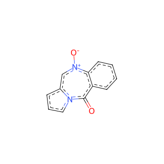 O=c1c2ccccc2[n+]([O-])cc2cccn12